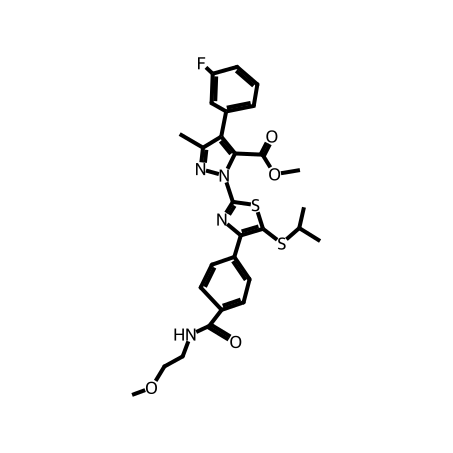 COCCNC(=O)c1ccc(-c2nc(-n3nc(C)c(-c4cccc(F)c4)c3C(=O)OC)sc2SC(C)C)cc1